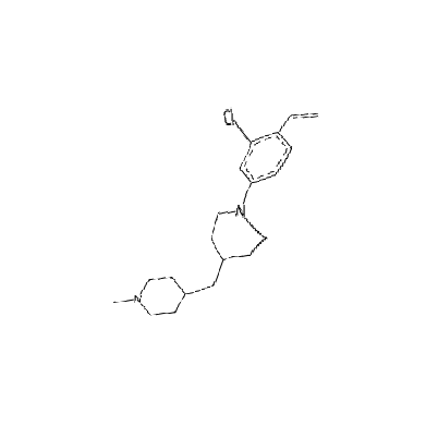 C=Cc1ccc(N2CCC(CC3CCN(C)CC3)CC2)cc1Cl